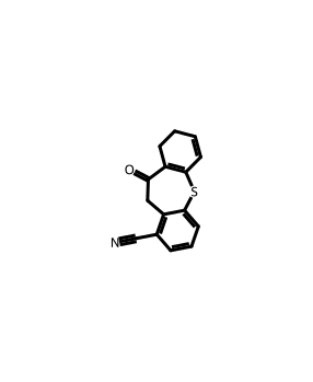 N#Cc1cccc2c1CC(=O)C1=C(C=CCC1)S2